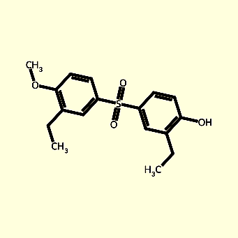 CCc1cc(S(=O)(=O)c2ccc(OC)c(CC)c2)ccc1O